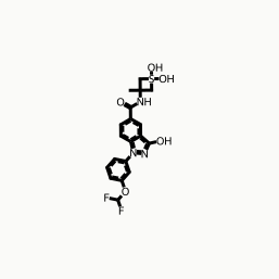 CC1(NC(=O)c2ccc3c(c2)c(O)nn3-c2cccc(OC(F)F)c2)CS(O)(O)C1